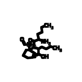 CCCCC(N)C(=O)N(C(CCCC)C(=O)O)C1(NC=O)CCCCC1